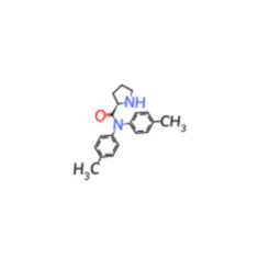 Cc1ccc(N(C(=O)[C@H]2CCCN2)c2ccc(C)cc2)cc1